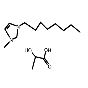 CC(O)C(=O)O.CCCCCCCCN1C=CN(C)C1